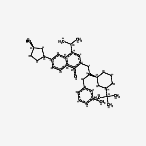 Cc1cc(CN(Cc2cn(C(C)C)c3cc(N4CC[C@@H](O)C4)ccc3c2=O)[C@H]2CCCN(C(C)(C)C)C2)ccn1